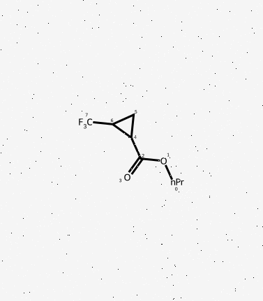 CCCOC(=O)C1CC1C(F)(F)F